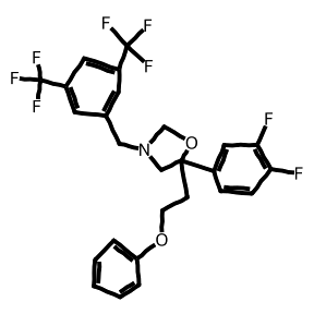 Fc1ccc(C2(CCOc3ccccc3)CN(Cc3cc(C(F)(F)F)cc(C(F)(F)F)c3)CO2)cc1F